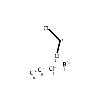 ClCCl.[B+3].[Cl-].[Cl-].[Cl-]